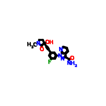 CN1CC[C@@](O)(C#Cc2cc(F)cc(-n3nc(C(N)=O)c4cccnc43)c2)C1=O